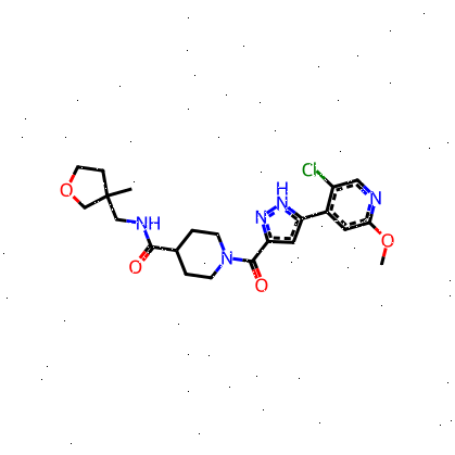 COc1cc(-c2cc(C(=O)N3CCC(C(=O)NCC4(C)CCOC4)CC3)n[nH]2)c(Cl)cn1